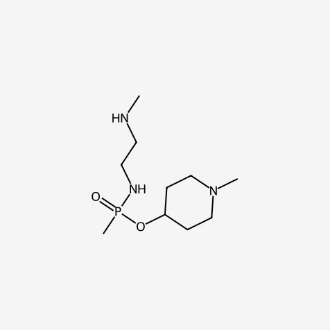 CNCCNP(C)(=O)OC1CCN(C)CC1